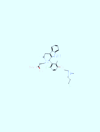 Cc1c(OCCN(C)CCCF)ccc(F)c1C1c2[nH]c3ccccc3c2C[C@@H](C)N1C[C@@H](C)C(=O)O